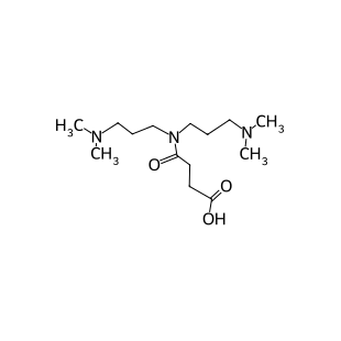 CN(C)CCCN(CCCN(C)C)C(=O)CCC(=O)O